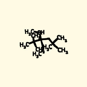 CBC(CC)(CC(C)(C)C)C(C)(C)C